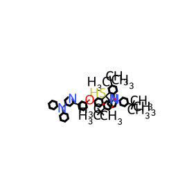 CC(C)(C)c1ccc(N(c2ccc(C(C)(C)C)cc2)c2ccc(C(C)(C)C)cc2C(S)(c2cccc(Oc3cccc(-c4cc(N(c5ccccc5)c5ccccc5)ccn4)c3)c2)c2ccccn2)cc1